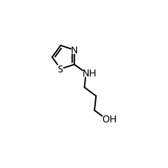 OCCCNc1nccs1